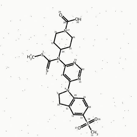 CSC(=S)N(c1cc(N2CCc3cc(S(C)(=O)=O)ccc32)ncn1)C1CCN(C(=O)O)CC1